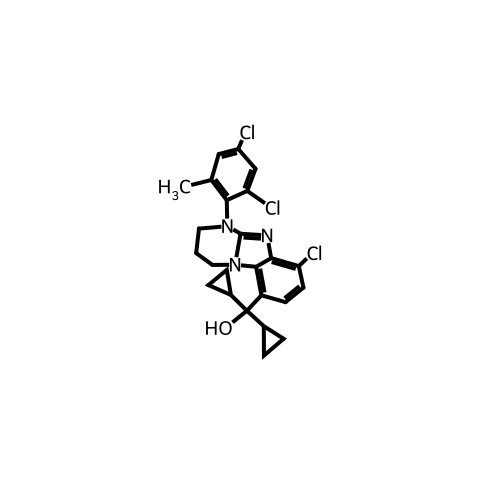 Cc1cc(Cl)cc(Cl)c1N1CCCn2c1nc1c(Cl)ccc(C(O)(C3CC3)C3CC3)c12